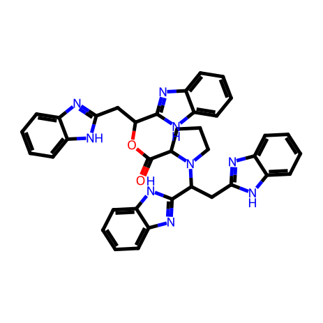 O=C(OC(Cc1nc2ccccc2[nH]1)c1nc2ccccc2[nH]1)C1CCCN1C(Cc1nc2ccccc2[nH]1)c1nc2ccccc2[nH]1